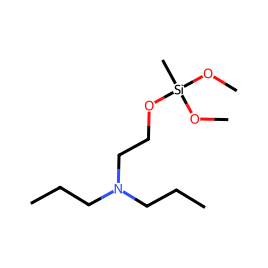 CCCN(CCC)CCO[Si](C)(OC)OC